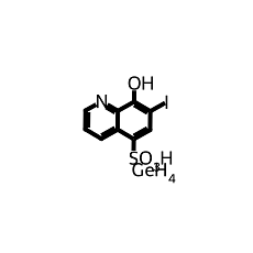 O=S(=O)(O)c1cc(I)c(O)c2ncccc12.[GeH4]